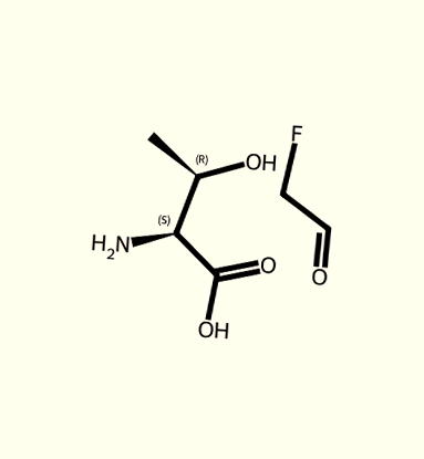 C[C@@H](O)[C@H](N)C(=O)O.O=CCF